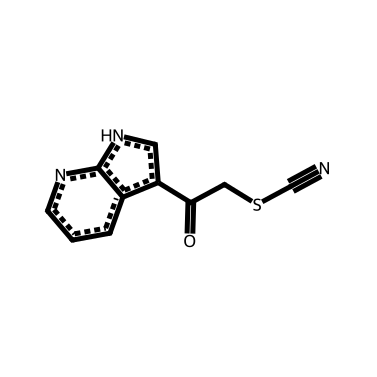 N#CSCC(=O)c1c[nH]c2ncccc12